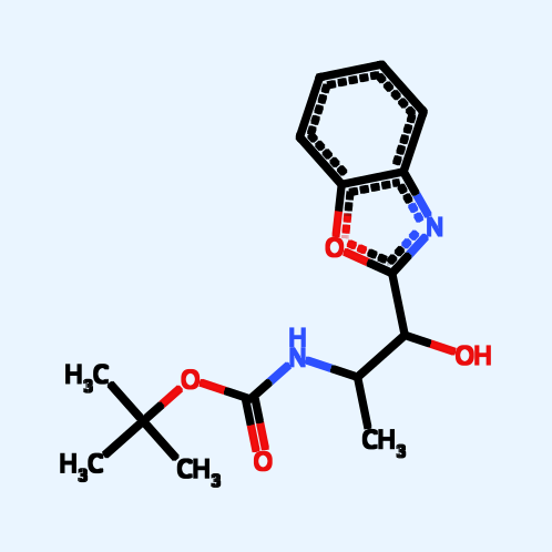 CC(NC(=O)OC(C)(C)C)C(O)c1nc2ccccc2o1